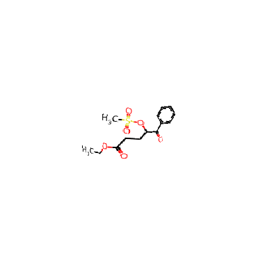 CCOC(=O)CCC(OS(C)(=O)=O)C(=O)c1ccccc1